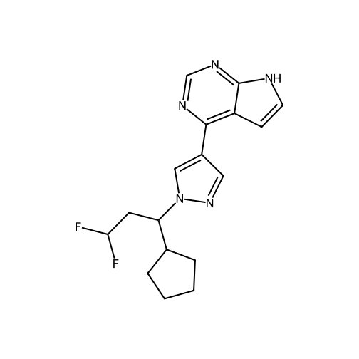 FC(F)CC(C1CCCC1)n1cc(-c2ncnc3[nH]ccc23)cn1